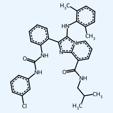 Cc1cccc(C)c1Nc1c(-c2ccccc2NC(=O)Nc2cccc(Cl)c2)nc2c(C(=O)NCC(C)C)cccn12